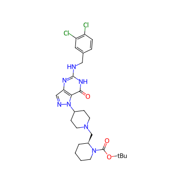 CC(C)(C)OC(=O)N1CCCC[C@H]1CN1CCC(n2ncc3nc(NCc4ccc(Cl)c(Cl)c4)[nH]c(=O)c32)CC1